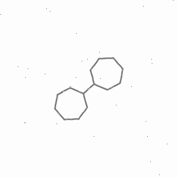 [C]1CCCCCC1C1CCCCCC1